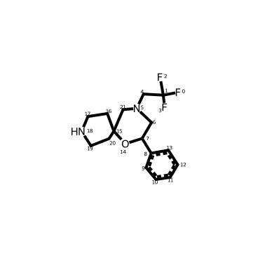 FC(F)(F)CN1CC(c2ccccc2)OC2(CCNCC2)C1